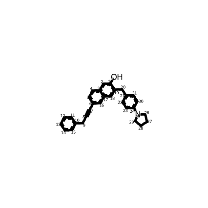 Oc1cc2ccc(C#CCc3ccccc3)cc2cc1Cc1ccc(N2CCCC2)cc1